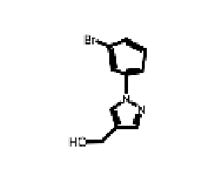 OCc1cnn(-c2cccc(Br)c2)c1